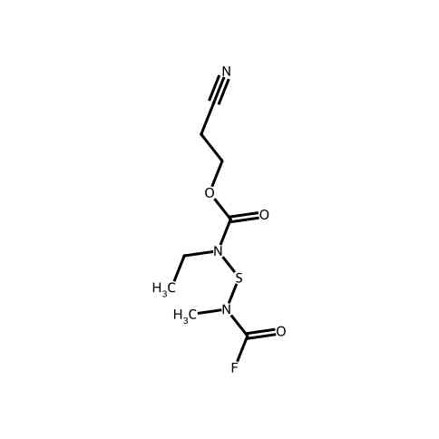 CCN(SN(C)C(=O)F)C(=O)OCCC#N